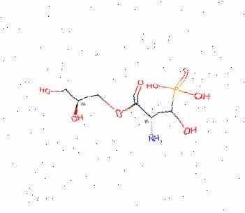 N[C@H](C(=O)OC[C@@H](O)CO)C(O)P(=O)(O)O